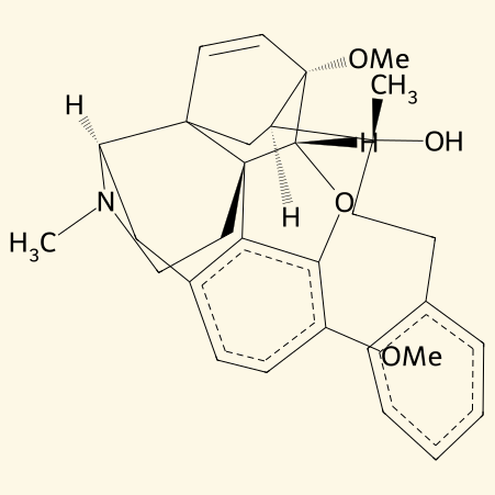 COc1ccc2c3c1O[C@H]1[C@]4(OC)C=CC5(C[C@@H]4[C@](C)(O)CCc4ccccc4)[C@@H](C2)N(C)CC[C@]315